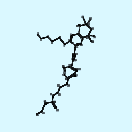 CCCCCCc1cc2c(cc1C#Cc1ccc(CCCCC(=O)OCC)nn1)C(C)(C)CC(C)(C)S2